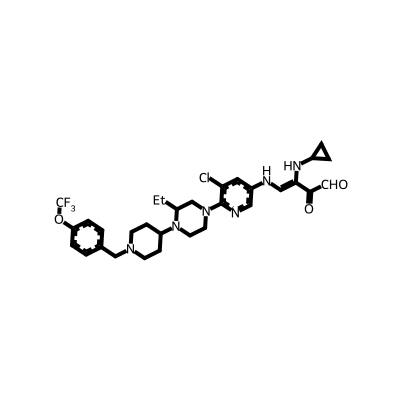 CCC1CN(c2ncc(N/C=C(\NC3CC3)C(=O)C=O)cc2Cl)CCN1C1CCN(Cc2ccc(OC(F)(F)F)cc2)CC1